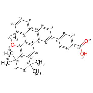 COc1cc(-c2cc(-c3ccc(C(=O)O)cc3)ccc2-c2ccccc2)cc2c1C(C)(C)CCC2(C)C